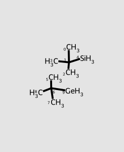 CC(C)(C)[SiH3].C[C](C)(C)[GeH3]